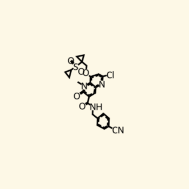 Cn1c(=O)c(C(=O)NCc2ccc(C#N)cc2)cc2nc(Cl)cc(OCC3(S(=O)(=O)C4CC4)CC3)c21